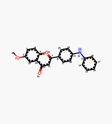 COc1ccc2oc(-c3ccc(Nc4ccccc4)cc3)cc(=O)c2c1